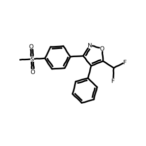 CS(=O)(=O)c1ccc(-c2noc(C(F)F)c2-c2ccccc2)cc1